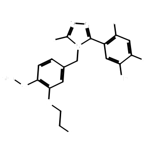 CCCCOc1ccc(Cn2c(S)nnc2-c2cc(C(C)C)c(O)cc2O)cc1OCCO